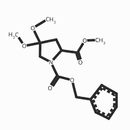 COC(=O)C1CC(OC)(OC)CN1C(=O)OCc1ccccc1